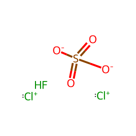 F.O=S(=O)([O-])[O-].[Cl+].[Cl+]